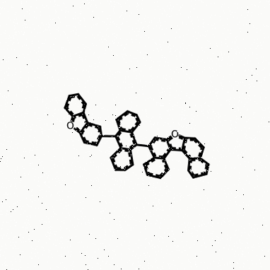 c1ccc2c(c1)ccc1oc3cc(-c4c5ccccc5c(-c5ccc6oc7ccccc7c6c5)c5ccccc45)c4ccccc4c3c12